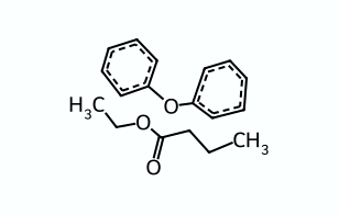 CCCC(=O)OCC.c1ccc(Oc2ccccc2)cc1